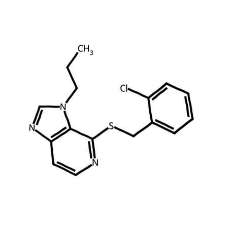 CCCn1cnc2ccnc(SCc3ccccc3Cl)c21